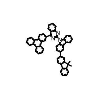 CC1(C)c2ccccc2-c2ccc(-c3ccc4c(c3)c3ccccc3n4-c3nc(-c4ccc5c6ccccc6c6ccccc6c5c4)c4ccccc4n3)cc21